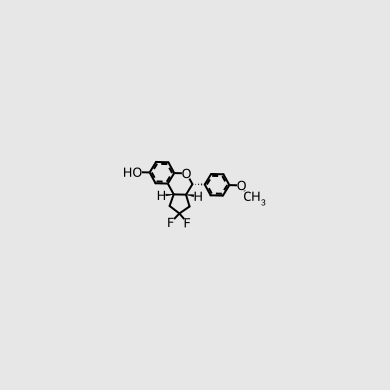 COc1ccc([C@H]2Oc3ccc(O)cc3[C@H]3CC(F)(F)C[C@H]32)cc1